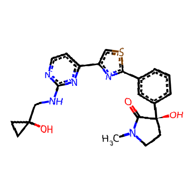 CN1CC[C@@](O)(c2cccc(-c3nc(-c4ccnc(NCC5(O)CC5)n4)cs3)c2)C1=O